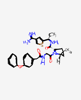 C[C@H](NC(=O)[C@@H]1C[C@]2(C)C[C@@H]2N1C(=O)CNC(=O)c1ccc(Oc2ccccc2)cc1)c1cc(C(=N)N)cs1